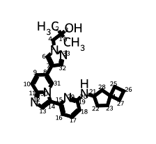 CC(C)(O)Cn1cc(-c2ccc3ncc(-c4cccc(NC5CCC6(CCC6)C5)n4)n3c2)cn1